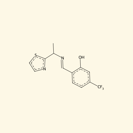 CC(/N=C/c1ccc(C(F)(F)F)cc1O)c1nccs1